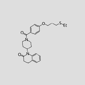 CCSCCCOc1ccc(C(=O)N2CCC(N3C(=O)CCc4ccccc43)CC2)cc1